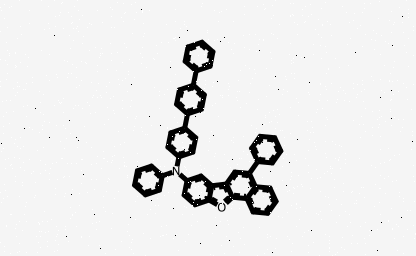 c1ccc(-c2ccc(-c3ccc(N(c4ccccc4)c4ccc5oc6c7ccccc7c(-c7ccccc7)cc6c5c4)cc3)cc2)cc1